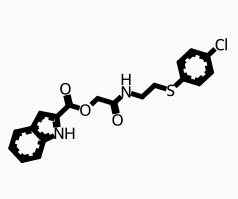 O=C(COC(=O)c1cc2ccccc2[nH]1)NCCSc1ccc(Cl)cc1